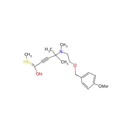 COc1ccc(COCCN(C)C(C)(C)C#CC(O)=[SH]C)cc1